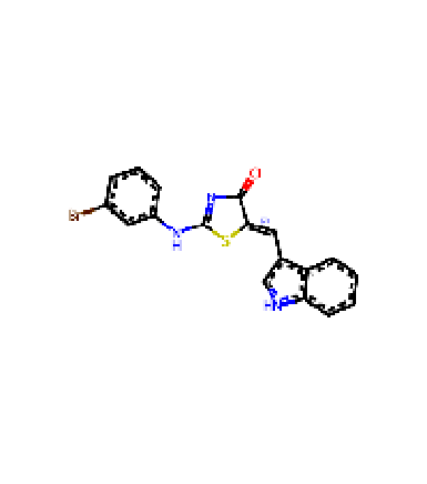 O=C1N=C(Nc2cccc(Br)c2)S/C1=C\c1c[nH]c2ccccc12